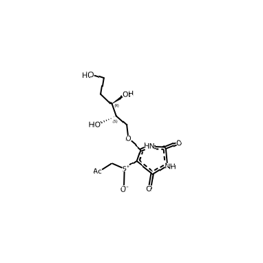 CC(=O)C[S+]([O-])c1c(OC[C@H](O)[C@H](O)CCO)[nH]c(=O)[nH]c1=O